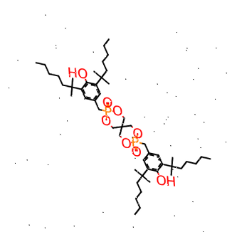 CCCCCC(C)(C)c1cc(CP2(=O)OCC3(CO2)COP(=O)(Cc2cc(C(C)(C)CCCCC)c(O)c(C(C)(C)CCCCC)c2)OC3)cc(C(C)(C)CCCCC)c1O